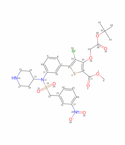 COC(=O)c1sc(-c2cccc(N(C3CCNCC3)S(=O)(=O)Cc3cccc([N+](=O)[O-])c3)c2)c(Br)c1OCC(=O)OC(C)(C)C